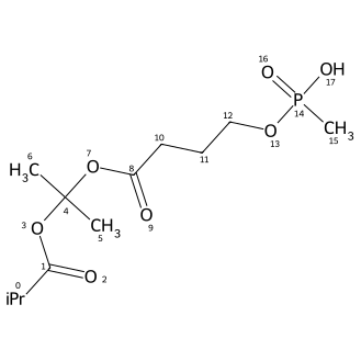 CC(C)C(=O)OC(C)(C)OC(=O)CCCOP(C)(=O)O